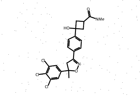 CNC(=O)C1CC(O)(c2ccc(C3=NOC(C)(c4cc(Cl)c(Cl)c(Cl)c4)C3)cc2)C1